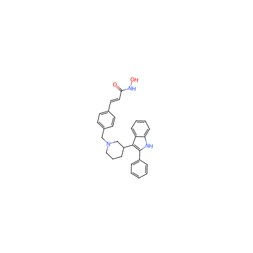 O=C(C=Cc1ccc(CN2CCCC(c3c(-c4ccccc4)[nH]c4ccccc34)C2)cc1)NO